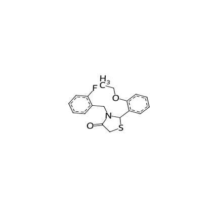 CCOc1ccccc1C1SCC(=O)N1Cc1ccccc1F